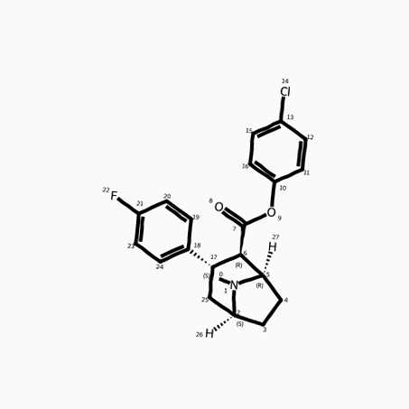 CN1[C@H]2CC[C@@H]1[C@H](C(=O)Oc1ccc(Cl)cc1)[C@@H](c1ccc(F)cc1)C2